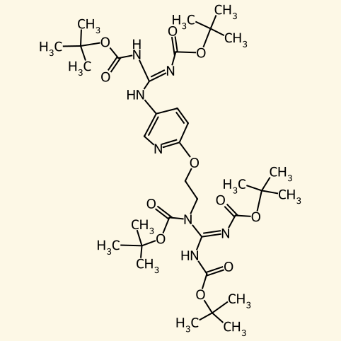 CC(C)(C)OC(=O)N=C(NC(=O)OC(C)(C)C)Nc1ccc(OCCN(C(=O)OC(C)(C)C)C(=NC(=O)OC(C)(C)C)NC(=O)OC(C)(C)C)nc1